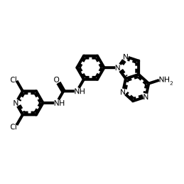 Nc1ncnc2c1cnn2-c1cccc(NC(=O)Nc2cc(Cl)nc(Cl)c2)c1